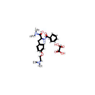 CCCN(CCC)C(=O)C(Cc1ccc(OCCN(CC)CC)cc1)NC(=O)c1ccccc1.O=C(O)C(=O)O